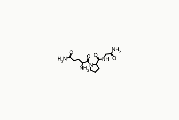 NC(=O)CCC(N)C(=O)N1CCCC1C(=O)NCC(N)=O